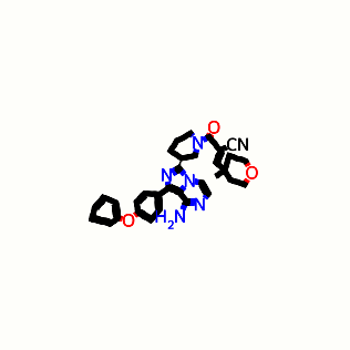 CC1(C=C(C#N)C(=O)N2CCC[C@@H](c3nc(-c4ccc(Oc5ccccc5)cc4)c4c(N)nccn34)C2)CCOCC1